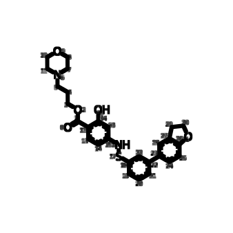 O=C(OCCCN1CCOCC1)c1ccc(NSc2cccc(-c3ccc4c(c3)CCO4)c2)cc1O